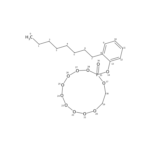 CCCCCCCCc1ccccc1OP1(=O)OCCOOOOOOOOO1